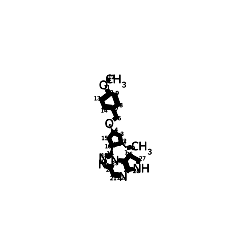 CC[C@H]1C[C@@H](OCc2ccc(OC)cc2)C[C@@H]1c1nnc2cnc3c(n12)CCN3